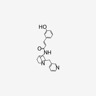 O=C(/C=C/c1cccc(O)c1)NC1C2CCN(CC2)C1Cc1cccnc1